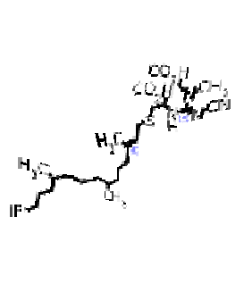 C/C(=C\CSCC(N/C(=N/C#N)N(C)CC(=O)O)C(=O)O)CCCC(C)CCCC(C)CCCC(C)C